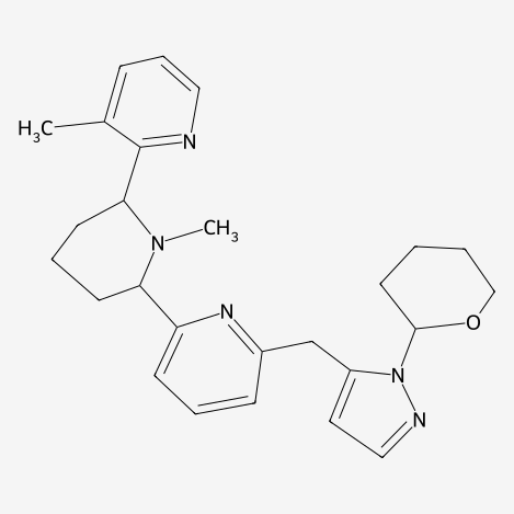 Cc1cccnc1C1CCCC(c2cccc(Cc3ccnn3C3CCCCO3)n2)N1C